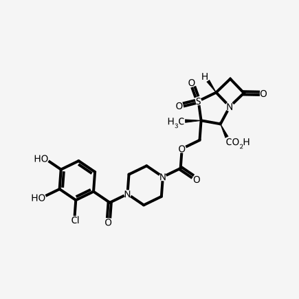 C[C@]1(COC(=O)N2CCN(C(=O)c3ccc(O)c(O)c3Cl)CC2)[C@H](C(=O)O)N2C(=O)C[C@H]2S1(=O)=O